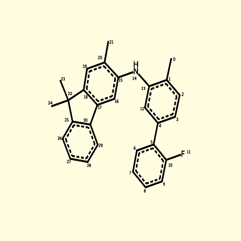 Cc1ccc(-c2ccccc2F)cc1Nc1cc2c(cc1C)C(C)(C)c1ccccc1-2